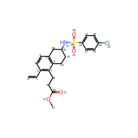 C=Cc1ccc2c(c1CCC(=O)OC)CCC(NS(=O)(=O)c1ccc(Cl)cc1)C2